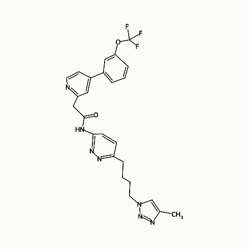 Cc1cn(CCCCc2ccc(NC(=O)Cc3cc(-c4cccc(OC(F)(F)F)c4)ccn3)nn2)nn1